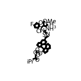 COC(=O)C1=C(C)NC(c2ncc(-c3ccc4c5c(ccc4c3)OP(=O)(OCC(=O)CC(C)C)Oc3ccc4ccccc4c3-5)s2)=N[C@H]1c1ccc(F)cc1Cl